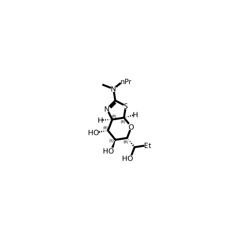 CCCN(C)C1=N[C@@H]2[C@@H](O)[C@H](O)[C@@H](C(O)CC)O[C@@H]2S1